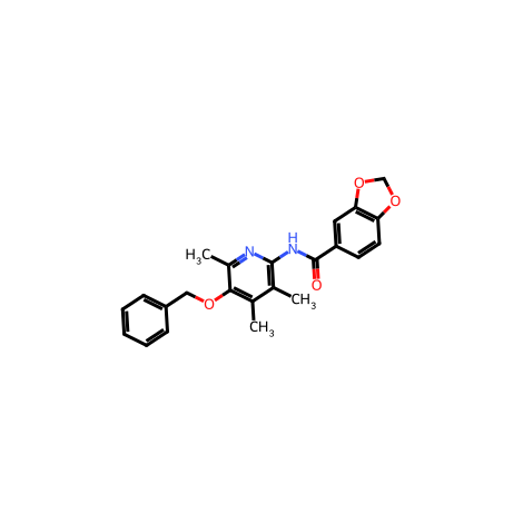 Cc1nc(NC(=O)c2ccc3c(c2)OCO3)c(C)c(C)c1OCc1ccccc1